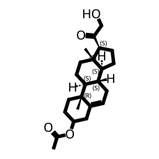 CC(=O)OC1CC[C@@]2(C)C(=CC[C@H]3[C@@H]4CC[C@H](C(=O)CO)[C@@]4(C)CC[C@@H]32)C1